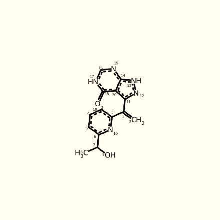 C=C(c1cccc(C(C)O)n1)c1n[nH]c2nc[nH]c(=O)c12